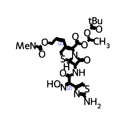 CNC(=O)OC/C=C\C1=C(C(=O)OC(C)OC(=O)C(C)(C)C)N2C(=O)C(NC(=O)/C(=N\O)c3csc(N)n3)[C@@H]2SC1